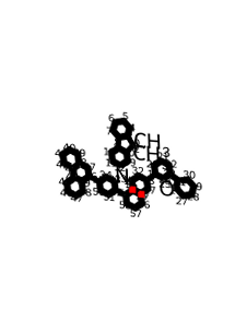 CC1(C)c2ccccc2-c2ccc(N(c3cccc(-c4cccc5c4oc4ccccc45)c3)c3cc(-c4cc5ccccc5c5ccccc45)ccc3-c3ccccc3)cc21